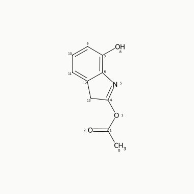 CC(=O)OC1=Nc2c(O)cccc2C1